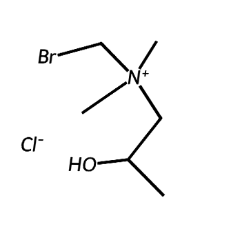 CC(O)C[N+](C)(C)CBr.[Cl-]